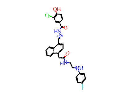 O=C(Cc1ccc(/C=N/NC(=O)c2ccc(O)c(Cl)c2)c2ccccc12)NCCNc1ccc(F)cc1